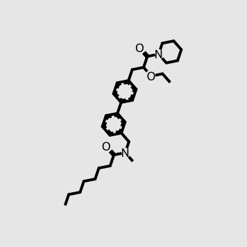 CCCCCCCC(=O)N(C)Cc1cccc(-c2ccc(CC(OCC)C(=O)N3CCCCC3)cc2)c1